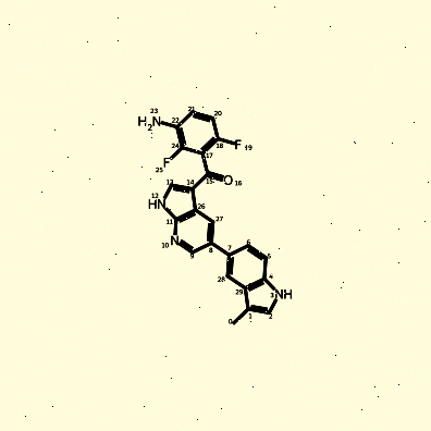 Cc1c[nH]c2ccc(-c3cnc4[nH]cc(C(=O)c5c(F)ccc(N)c5F)c4c3)cc12